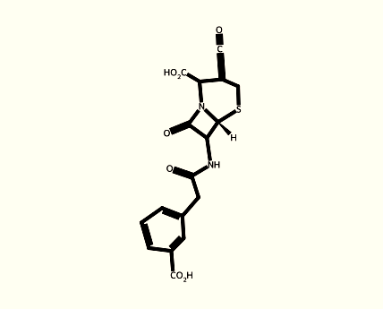 O=C=C1CS[C@@H]2C(NC(=O)Cc3cccc(C(=O)O)c3)C(=O)N2C1C(=O)O